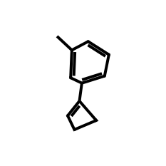 Cc1cccc(C2=CCC2)c1